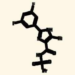 CCc1[nH]c(-c2cc(F)cc(F)c2)nc1C(=O)NS(=O)(=O)C(C)C